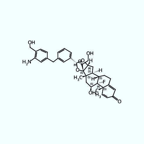 C[C@]12C=CC(=O)C=C1CC[C@H]1[C@@H]3C[C@H]4O[C@@H](c5cccc(Cc6ccc(CO)c(N)c6)c5)O[C@@]4(C(=O)CO)[C@@]3(C)C[C@H](O)[C@@]12F